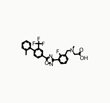 Cc1ccccc1-c1ccc(-c2nc(-c3cccc(CN(C)CC(=O)O)c3F)no2)cc1C(F)(F)F